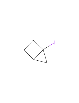 IC12CCC1C2